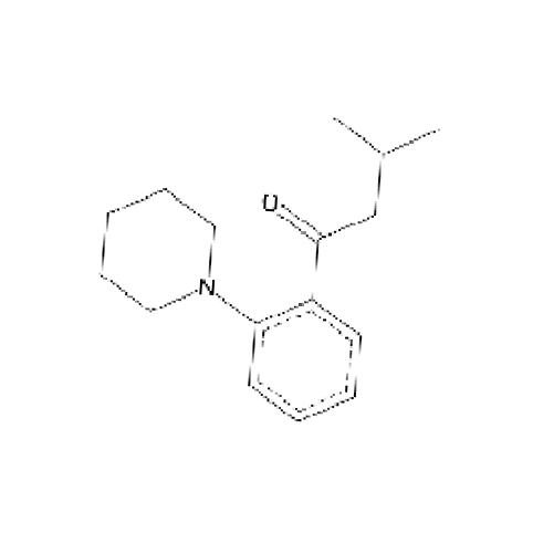 CC(C)CC(=O)c1ccccc1N1CCCCC1